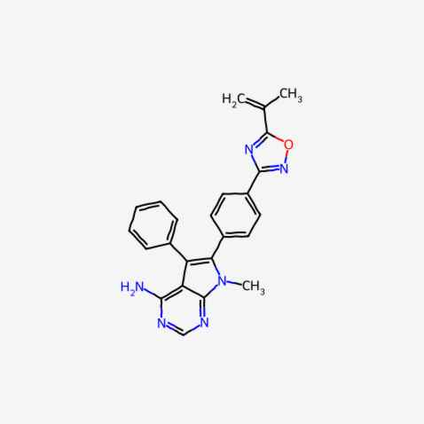 C=C(C)c1nc(-c2ccc(-c3c(-c4ccccc4)c4c(N)ncnc4n3C)cc2)no1